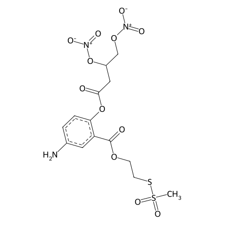 CS(=O)(=O)SCCOC(=O)c1cc(N)ccc1OC(=O)CC(CO[N+](=O)[O-])O[N+](=O)[O-]